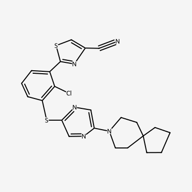 N#Cc1csc(-c2cccc(Sc3cnc(N4CCC5(CCCC5)CC4)cn3)c2Cl)n1